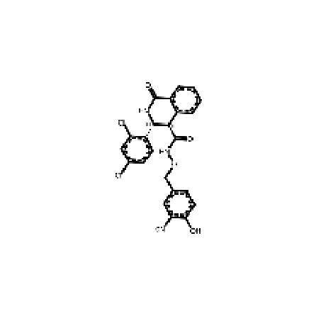 O=Nc1cc(CONC(=O)[C@@H]2c3ccccc3C(=O)N[C@H]2c2ccc(Cl)cc2Cl)ccc1O